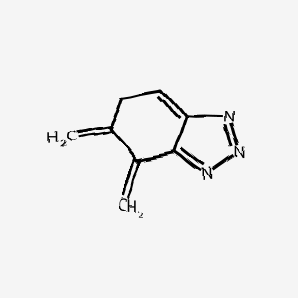 C=C1CC=C2N=NN=C2C1=C